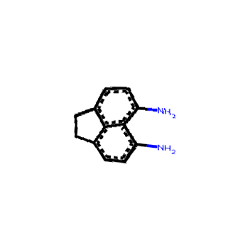 Nc1ccc2c3c(ccc(N)c13)CC2